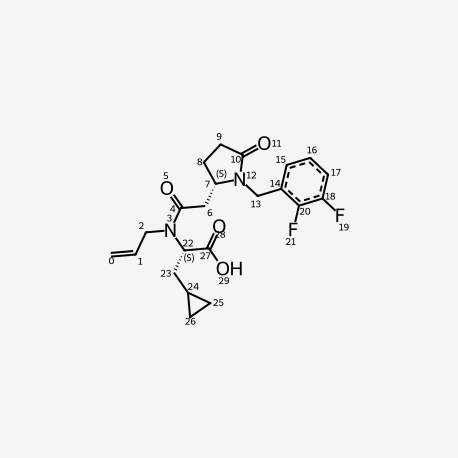 C=CCN(C(=O)C[C@@H]1CCC(=O)N1Cc1cccc(F)c1F)[C@@H](CC1CC1)C(=O)O